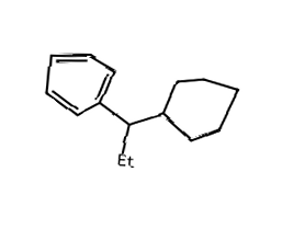 [CH2]CC(c1ccccc1)C1CCCCC1